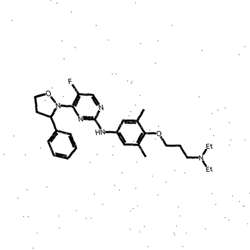 CCN(CC)CCCOc1c(C)cc(Nc2ncc(F)c(N3OCCC3c3ccccc3)n2)cc1C